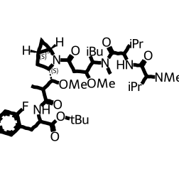 CCC(C)C(C(CC(=O)N1[C@H](C(OC)C(C)C(=O)NC(Cc2ccccc2F)C(=O)OC(C)(C)C)C[C@@H]2C[C@@H]21)OC)N(C)C(=O)C(NC(=O)C(NC)C(C)C)C(C)C